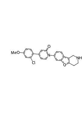 COc1ccc(-c2ccn(-c3ccc4c5c(oc4c3)CCNC5)c(=O)c2)c(Cl)c1